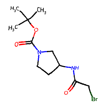 CC(C)(C)OC(=O)N1CCC(NC(=O)CBr)C1